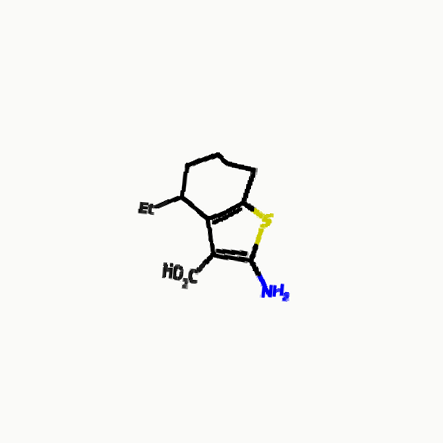 CCC1CCCc2sc(N)c(C(=O)O)c21